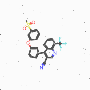 CS(=O)(=O)c1cccc(Oc2cccc(-c3c(C#N)cnc4c(C(F)(F)F)cccc34)c2)c1